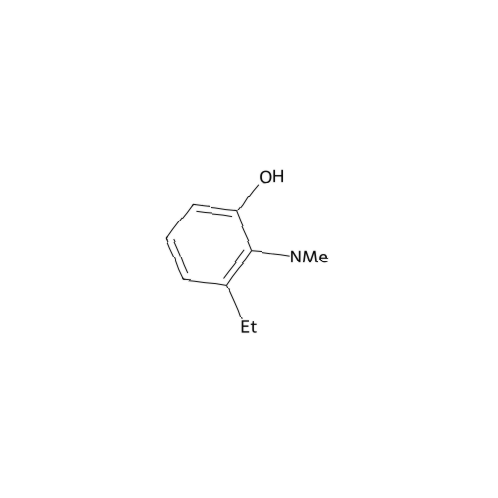 CCc1cccc(O)c1NC